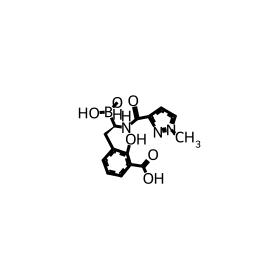 Cn1ccc(C(=O)N[C@@H](Cc2cccc(C(=O)O)c2O)B(O)O)n1